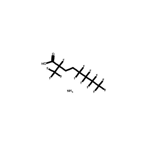 N.O=C(O)C(F)(CCC(F)(F)C(F)(F)C(F)(F)C(F)(F)F)C(F)(F)F